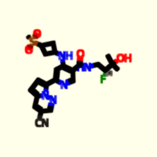 CC(C)(O)[C@H](F)CNC(=O)c1cnc(-c2ccc3cc(C#N)cnn23)cc1NC1CC(S(C)(=O)=O)C1